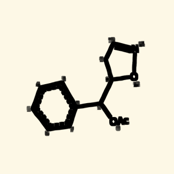 CC(=O)OC(c1ccccc1)C1CC=NO1